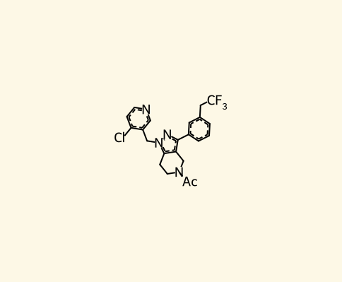 CC(=O)N1CCc2c(c(-c3cccc(CC(F)(F)F)c3)nn2Cc2cnccc2Cl)C1